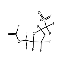 C=C(F)OC(F)(F)C(F)(OC(F)(F)C(F)(F)S(=O)(=O)F)C(F)(F)F